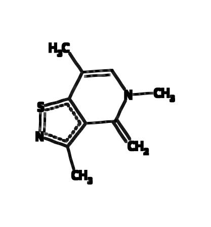 C=C1c2c(C)nsc2C(C)=CN1C